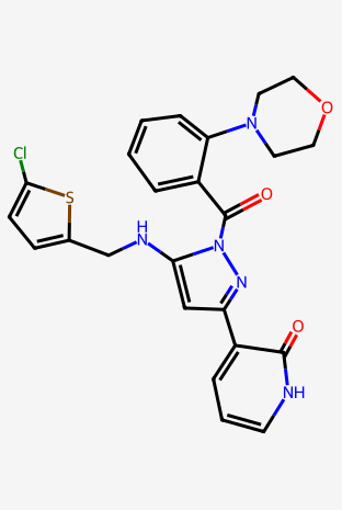 O=C(c1ccccc1N1CCOCC1)n1nc(-c2ccc[nH]c2=O)cc1NCc1ccc(Cl)s1